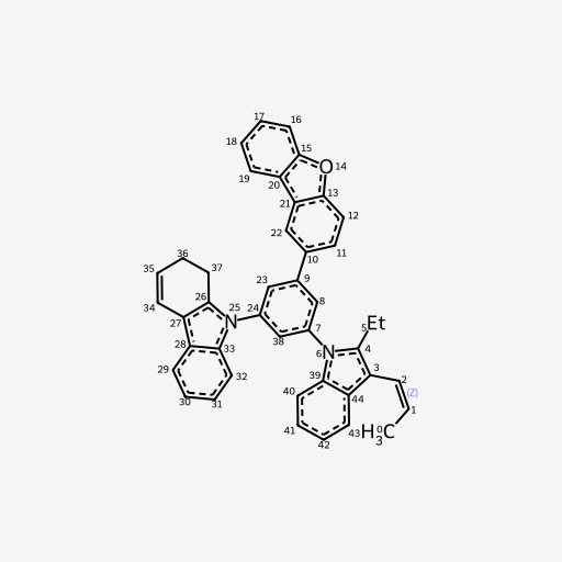 C/C=C\c1c(CC)n(-c2cc(-c3ccc4oc5ccccc5c4c3)cc(-n3c4c(c5ccccc53)C=CCC4)c2)c2ccccc12